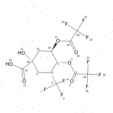 O=C(O[C@@H]1[C@H](C(F)(F)F)C[C@@](O)(C(=O)O)C[C@H]1OC(=O)C(F)(F)F)C(F)(F)F